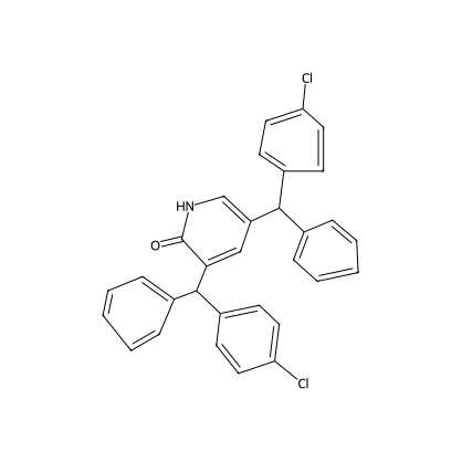 O=c1[nH]cc(C(c2ccccc2)c2ccc(Cl)cc2)cc1C(c1ccccc1)c1ccc(Cl)cc1